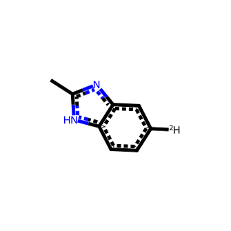 [2H]c1ccc2[nH]c(C)nc2c1